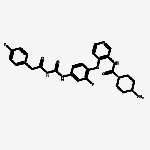 N[C@H]1CC[C@@H](C(=O)Nc2cnccc2Oc2ccc(NC(=O)NC(=O)Cc3ccc(F)cc3)cc2F)CC1